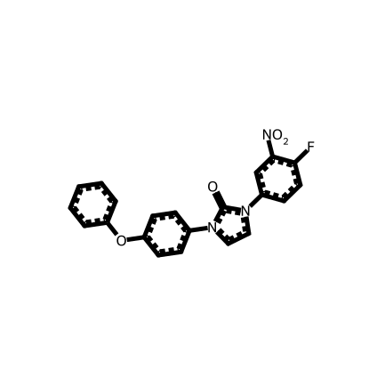 O=c1n(-c2ccc(Oc3ccccc3)cc2)ccn1-c1ccc(F)c([N+](=O)[O-])c1